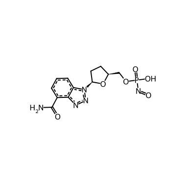 NC(=O)c1cccc2c1nnn2[C@H]1CC[C@@H](COP(=O)(O)N=O)O1